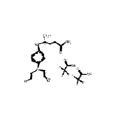 NC(=O)CC[C@H](Nc1ccc(N(CCCl)CCCl)cc1)C(=O)O.O=C(O)C(F)(F)F.O=C(O)C(F)(F)F